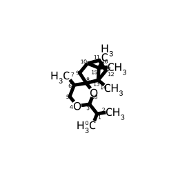 CC(C)C1OCC(C)C2(CC3CCC2(C)C3(C)C)O1